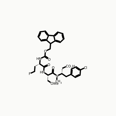 COC[C@H](NC(=O)[C@H](CCF)NC(=O)OCC1c2ccccc2-c2ccccc21)C(=O)N(C)[C@H](CC(=O)O)Cc1ccc(Cl)cc1